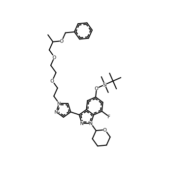 CC(COCCOCCn1cc(-c2nn(C3CCCCO3)c3c(F)cc(O[Si](C)(C)C(C)(C)C)cc23)cn1)OCc1ccccc1